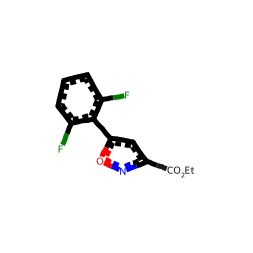 CCOC(=O)c1cc(-c2c(F)cccc2F)on1